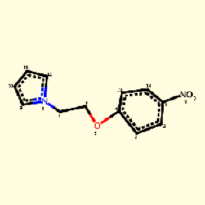 O=[N+]([O-])c1ccc(OCCn2cccc2)cc1